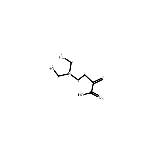 C=C(CCN(CO)CO)C(=O)O